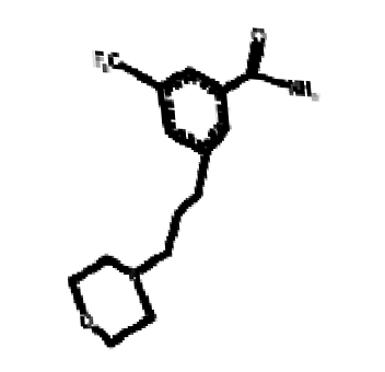 NC(=O)c1cc(CCCN2CCOCC2)cc(C(F)(F)F)c1